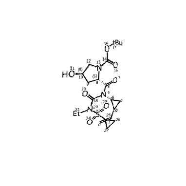 C=C[C@@H]1C[C@H]1N(C(=O)[C@@H]1C[C@@H](O)CN1C(=O)OC(C)(C)C)C(=O)N(CC)S(=O)(=O)C1CC1